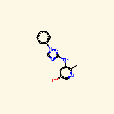 Cc1ncc(O)cc1Nc1ncn(-c2ccccc2)n1